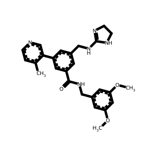 COc1cc(CNC(=O)c2cc(CNC3=NCCN3)cc(-c3cnccc3C)c2)cc(OC)c1